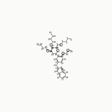 CCCCOC[C@H]1OC(c2cc(Cc3cc4ccccc4s3)ccc2OCOC)C[C@@H](OCCCC)[C@@H]1OCCCC